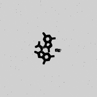 CC1=Cc2c(C)cc(C)cc2[CH]1[Zr+2]([CH]1C(C)=Cc2c(C)cc(C)cc21)=[Si](C)C.[Cl-].[Cl-]